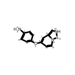 Nc1ccc(OC2=CC3=CNSN3C=C2)cc1